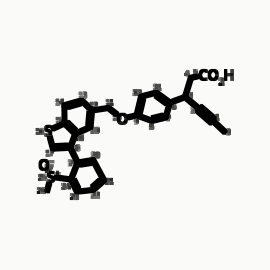 CC#CC(CC(=O)O)c1ccc(OCc2ccc3scc(-c4ccccc4[S+](C)[O-])c3c2)cc1